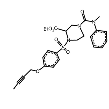 CC#CCOc1ccc(S(=O)(=O)N2CCN(C(=O)N(C)c3ccccc3)CC2C(=O)OCC)cc1